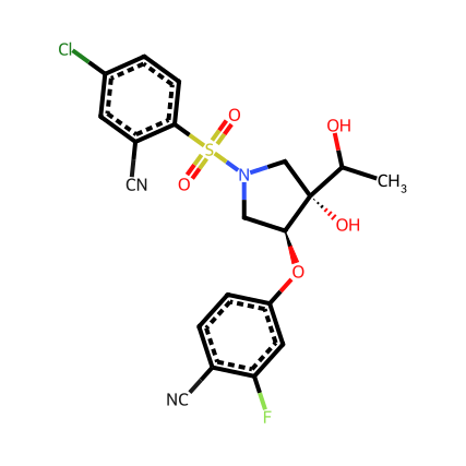 CC(O)[C@]1(O)CN(S(=O)(=O)c2ccc(Cl)cc2C#N)C[C@@H]1Oc1ccc(C#N)c(F)c1